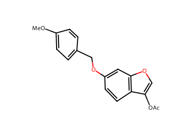 COc1ccc(COc2ccc3c(OC(C)=O)coc3c2)cc1